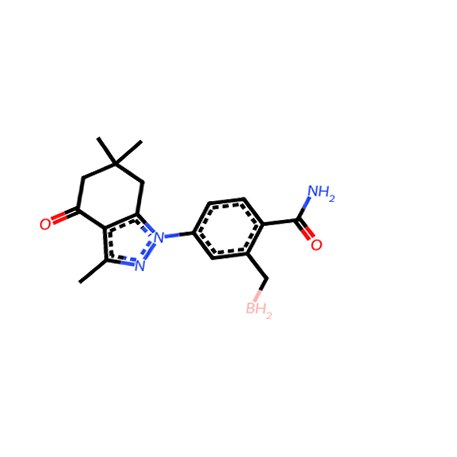 BCc1cc(-n2nc(C)c3c2CC(C)(C)CC3=O)ccc1C(N)=O